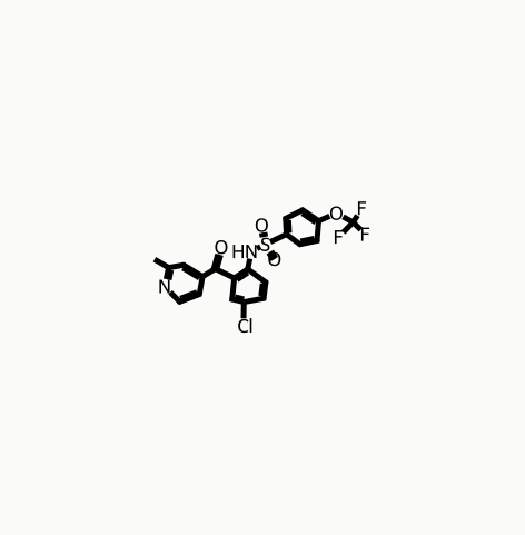 Cc1cc(C(=O)c2cc(Cl)ccc2NS(=O)(=O)c2ccc(OC(F)(F)F)cc2)ccn1